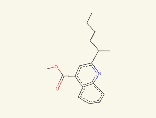 CCCCC(C)c1cc(C(=O)OC)c2ccccc2n1